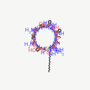 CCCCCCCCCCCCCCNC(=O)CNC(=O)[C@@H]1CSCC(=O)N[C@@H](Cc2ccc(O)cc2)C(=O)N(C)[C@@H](C)C(=O)N[C@@H](CC(N)=O)C(=O)N2CCC[C@H]2C(=O)N[C@@H](CCN)C(=O)N[C@@H](CC(C)C)C(=O)N2C[C@H](O)C[C@H]2C(=O)N[C@@H](Cc2c[nH]c3ccccc23)C(=O)N[C@@H](CO)C(=O)N[C@@H](Cc2c[nH]c3ccccc23)C(=O)N(C)[C@@H](CCCC)C(=O)N(C)[C@@H](CCCC)C(=O)N[C@@H](CCCNC(=N)N)C(=O)N1